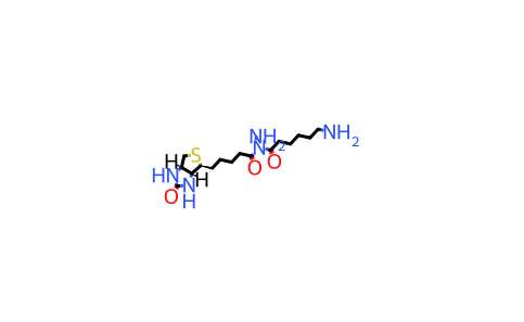 NCCCCCC(=O)N(N)C(=O)CCCC[C@@H]1SC[C@@H]2NC(=O)N[C@@H]21